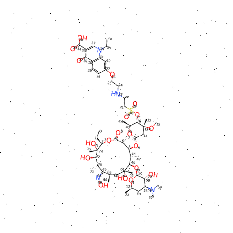 CC[C@H]1OC(=O)[C@H](C)[C@@H](O[C@H]2C[C@@](C)(OC)[C@@H](OS(=O)(=O)CCNCCOc3ccc4c(=O)c(C(=O)O)cn(CC)c4c3)[C@H](C)O2)[C@H](C)[C@@H](O[C@@H]2O[C@H](C)C[C@H](N(C)C)[C@H]2O)[C@](C)(O)C[C@@H](C)/C(=N\O)[C@H](C)[C@@H](O)[C@]1(C)O